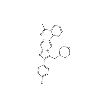 CC(=O)c1ccccc1-c1ccc2nc(-c3ccc(Cl)cc3)c(CN3CCOCC3)n2c1